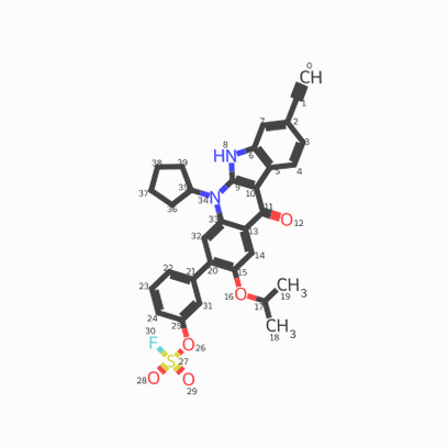 C#Cc1ccc2c(c1)[nH]c1c2c(=O)c2cc(OC(C)C)c(-c3cccc(OS(=O)(=O)F)c3)cc2n1C1CCCC1